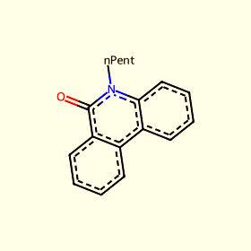 CCCCCn1c(=O)c2ccccc2c2ccccc21